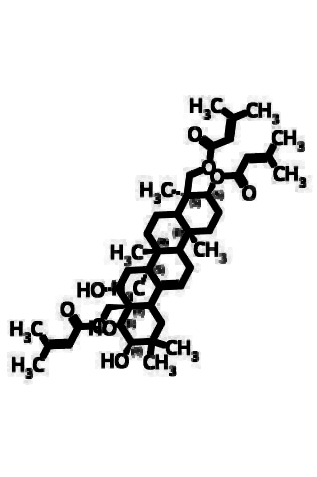 CC(C)=CC(=O)OC[C@@]12C(CC(C)(C)[C@@H](O)[C@@H]1O)C1=CCC3[C@@]4(C)CC[C@H](OC(=O)C=C(C)C)[C@](C)(COC(=O)C=C(C)C)C4CC[C@@]3(C)[C@]1(C)C[C@H]2O